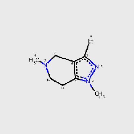 CCc1nn(C)c2c1CN(C)CC2